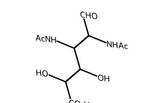 CC(=O)NC(C=O)C(NC(C)=O)C(O)C(O)C(=O)O